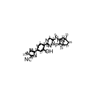 CN(c1cnc(-c2ccc(-c3nc(C#N)n(C)n3)cc2O)nn1)[C@H]1C[C@]2(C)CC[C@@](C)(N2)[C@H]1F